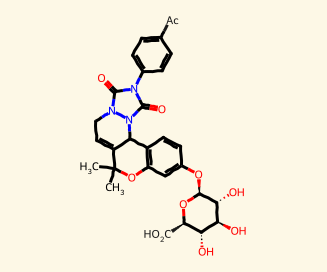 CC(=O)c1ccc(-n2c(=O)n3n(c2=O)C2C(=CC3)C(C)(C)Oc3cc(O[C@@H]4O[C@H](C(=O)O)[C@@H](O)[C@H](O)[C@H]4O)ccc32)cc1